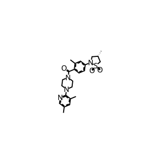 Cc1cnc(N2CCN(C(=O)c3ccc(N4C[C@H](C)CS4(=O)=O)cc3C)CC2)c(C)c1